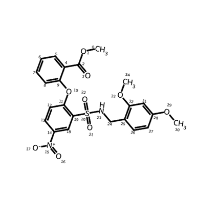 COC(=O)c1ccccc1Oc1ccc([N+](=O)[O-])cc1S(=O)(=O)NCc1ccc(OC)cc1OC